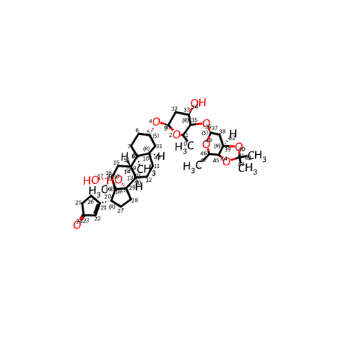 CC1O[C@@H](O[C@H]2CC[C@@]3(C)[C@H](CC[C@@H]4[C@@H]3C[C@@H](O)[C@]3(C)[C@@H](C5=CC(=O)CC5)CC[C@]43O)C2)C[C@@H](O)C1O[C@H]1C[C@H]2OC(C)(C)OC2C(C)O1